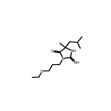 CCOCCCN1C(=N)NC(C)(CC(C)C)C1=O